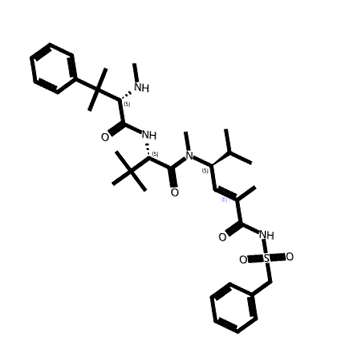 CN[C@H](C(=O)N[C@H](C(=O)N(C)[C@H](/C=C(\C)C(=O)NS(=O)(=O)Cc1ccccc1)C(C)C)C(C)(C)C)C(C)(C)c1ccccc1